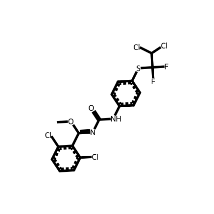 CO/C(=N\C(=O)Nc1ccc(SC(F)(F)C(Cl)Cl)cc1)c1c(Cl)cccc1Cl